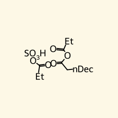 CCC(=O)OS(=O)(=O)O.CCCCCCCCCCCC(=O)OC(=O)CC